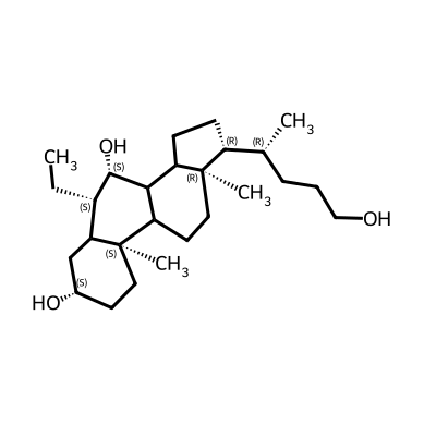 CC[C@H]1C2C[C@@H](O)CC[C@]2(C)C2CC[C@@]3(C)C(CC[C@@H]3[C@H](C)CCCO)C2[C@H]1O